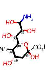 CC(=O)N[C@H]1[C@H]([C@H](O)[C@H](O)C(N)O)O[C@](O)(C(=O)O)C[C@@H]1O